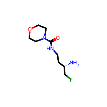 N[C@H](CF)CCNC(=O)N1CCOCC1